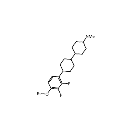 CCOc1ccc(C2CCC(C3CCC(NC)CC3)CC2)c(F)c1F